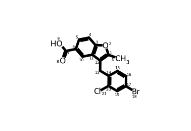 Cc1oc2ccc(C(=O)O)cc2c1Cc1ccc(Br)cc1Cl